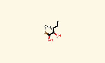 CCCC(O)C(O)=S.[CaH2]